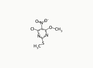 COc1nc(SC)nc(Cl)c1[N+](=O)[O-]